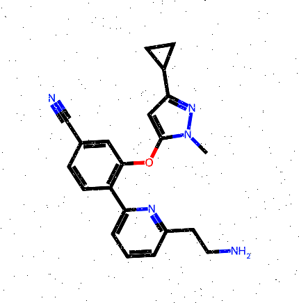 Cn1nc(C2CC2)cc1Oc1cc(C#N)ccc1-c1cccc(CCN)n1